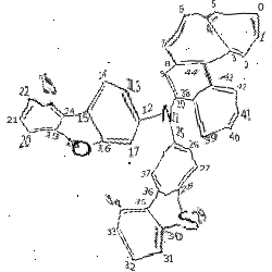 c1ccc2c(c1)ccc1cc(N(c3ccc4c(c3)oc3ccccc34)c3ccc4sc5ccccc5c4c3)c3ccccc3c12